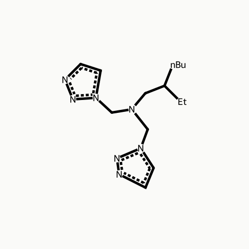 CCCCC(CC)CN(Cn1ccnn1)Cn1ccnn1